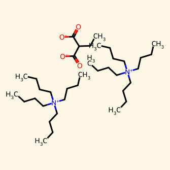 CCC(C(=O)[O-])C(=O)[O-].CCCC[N+](CCCC)(CCCC)CCCC.CCCC[N+](CCCC)(CCCC)CCCC